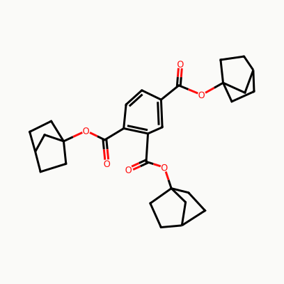 O=C(OC12CCC(CC1)C2)c1ccc(C(=O)OC23CCC(CC2)C3)c(C(=O)OC23CCC(CC2)C3)c1